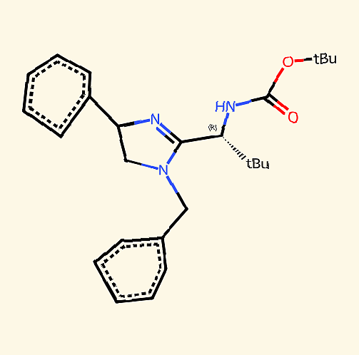 CC(C)(C)OC(=O)N[C@@H](C1=NC(c2ccccc2)CN1Cc1ccccc1)C(C)(C)C